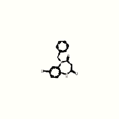 O=C1CC(=O)N(Cc2ccccc2)c2cc(Cl)ccc2N1